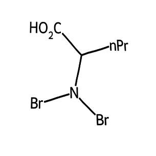 CCCC(C(=O)O)N(Br)Br